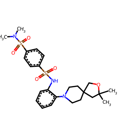 CN(C)S(=O)(=O)c1ccc(S(=O)(=O)Nc2ccccc2N2CCC3(CC2)COC(C)(C)C3)cc1